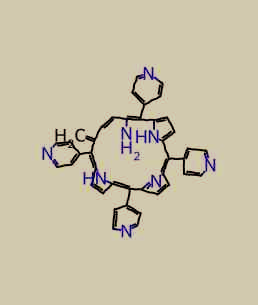 C=C1/C=C\C(N)=C(/c2ccncc2)c2ccc([nH]2)/C(c2ccncc2)=C2/C=CC(=N2)/C(c2ccncc2)=c2/cc/c([nH]2)=C/1c1ccncc1